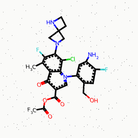 Cc1c(F)c(N2CC3(CCN3)C2)c(Cl)c2c1c(=O)c(C(=O)OC(=O)C(F)(F)F)cn2-c1cc(N)c(F)cc1CO